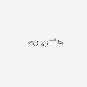 CC(C)(C)OCCC1CCN(CC2CCN(C(C)(C)C)CC2)CC1